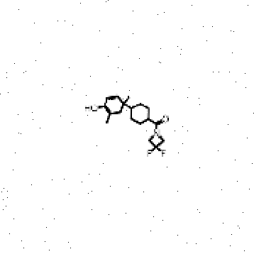 CC1=C(O)C=CC(C)(C2CCC(C(=O)N3CC(F)(F)C3)CC2)C1